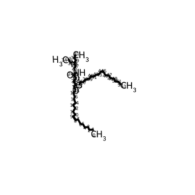 CCCCCCCC/C=C\CCCCCCCCOCC(COC(=O)NCCN(CCC)CCC)OCCCCCCCC/C=C\CCCCCCCC